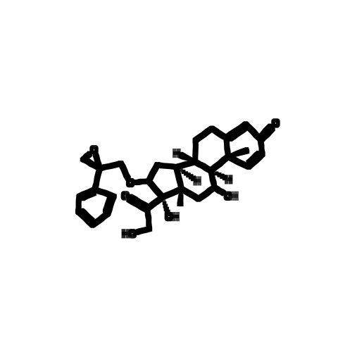 C[C@]12C=CC(=O)C=C1CC[C@@H]1[C@@H]2C(O)C[C@@]2(C)[C@H]1CC(OCC1(c3ccccc3)CO1)[C@]2(O)C(=O)CO